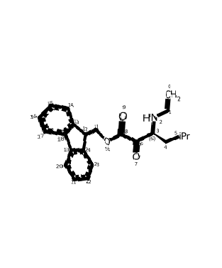 C=CN[C@@H](CC(C)C)C(=O)C(=O)OCC1c2ccccc2-c2ccccc21